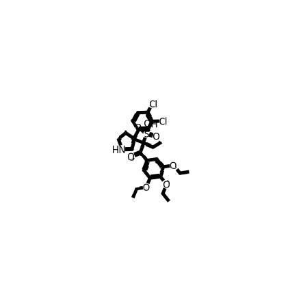 CCOc1cc(C(=O)C(CC)(C2(c3ccc(Cl)c(Cl)c3)CCNC2)S(=O)(=O)O)cc(OCC)c1OCC